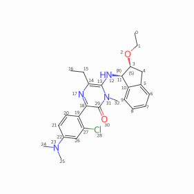 CCO[C@H]1Cc2ccccc2[C@H]1Nc1c(CC)nc(-c2ccc(N(C)C)cc2Cl)c(=O)n1C